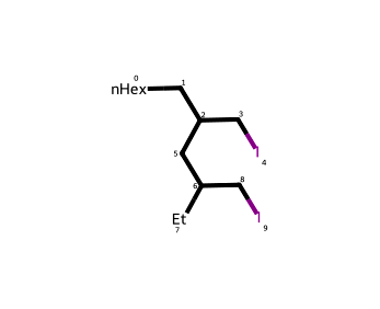 CCCCCCCC(CI)CC(CC)CI